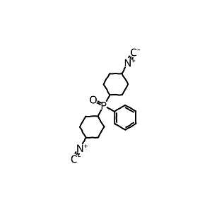 [C-]#[N+]C1CCC(P(=O)(c2ccccc2)C2CCC([N+]#[C-])CC2)CC1